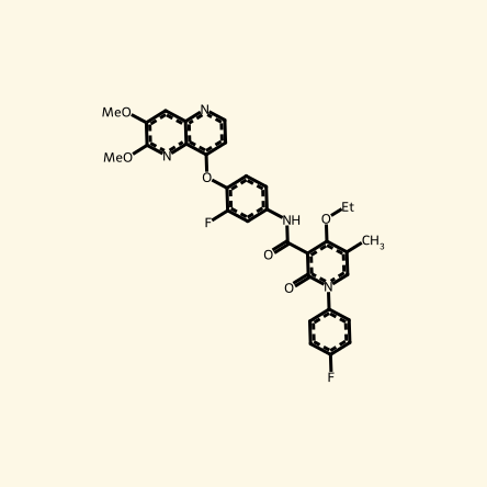 CCOc1c(C)cn(-c2ccc(F)cc2)c(=O)c1C(=O)Nc1ccc(Oc2ccnc3cc(OC)c(OC)nc23)c(F)c1